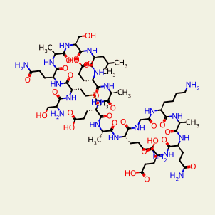 CSCC[C@H](NC(=O)[C@@H](N)CO)C(=O)N[C@@H](CCC(N)=O)C(=O)N[C@@H](C)C(=O)N[C@@H](CO)C(=O)N[C@@H](CC(C)C)C(=O)N[C@@H](CCC(=O)O)C(=O)N[C@@H](C)C(=O)N[C@@H](CCC(=O)O)C(=O)N[C@@H](C)C(=O)N[C@@H](CCCCN)C(=O)NCC(=O)N[C@@H](CCCCN)C(=O)N[C@@H](C)C(=O)N[C@@H](CCC(N)=O)C(=O)N[C@@H](CCC(=O)O)C(=O)O